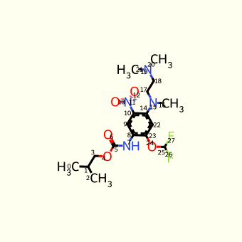 CC(C)COC(=O)Nc1cc([N+](=O)[O-])c(N(C)CCN(C)C)cc1OC(F)F